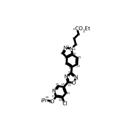 CCOC(=O)CCCn1ncc2cc(-c3noc(-c4cnc(OC(C)C)c(Cl)c4)n3)ccc21